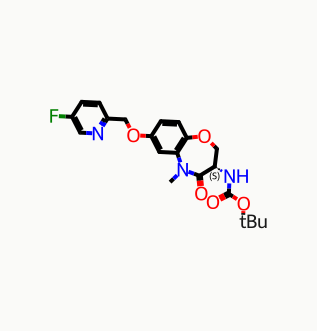 CN1C(=O)[C@@H](NC(=O)OC(C)(C)C)COc2ccc(OCc3ccc(F)cn3)cc21